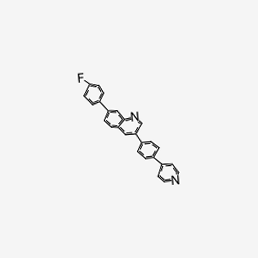 Fc1ccc(-c2ccc3cc(-c4ccc(-c5ccncc5)cc4)cnc3c2)cc1